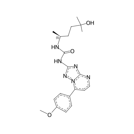 COc1ccc(-c2ccnc3nc(NC(=O)N[C@@H](C)CCC(C)(C)O)nn23)cc1